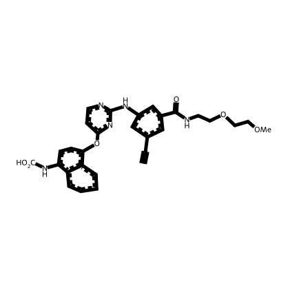 C#Cc1cc(Nc2nccc(Oc3ccc(NC(=O)O)c4ccccc34)n2)cc(C(=O)NCCOCCOC)c1